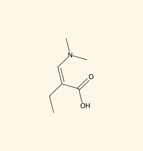 CC/C(=C/N(C)C)C(=O)O